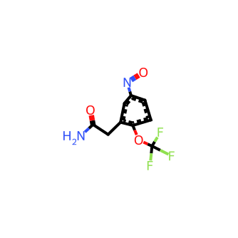 NC(=O)Cc1cc(N=O)ccc1OC(F)(F)F